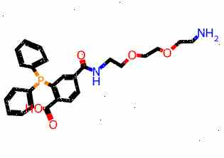 NCCOCCOCCNC(=O)c1ccc(C(=O)O)c(P(c2ccccc2)c2ccccc2)c1